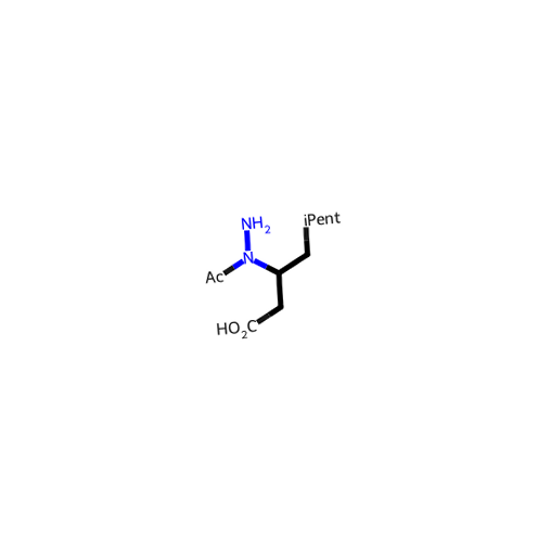 CCCC(C)CC(CC(=O)O)N(N)C(C)=O